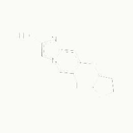 Cc1cn2cc(Br)c(OC3CCOC3)cc2n1